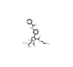 C=CCOC(=O)C1=C(c2cccc(NC(=O)c3cccnc3)c2)C[C@@H]2[C@@H]([C@@H](C)O)C(=O)N12